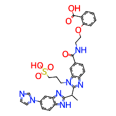 CC(c1nc2cc(-n3ccnc3)ccc2[nH]1)c1nc2ccc(C(=O)NCCOc3ccccc3C(=O)O)cc2n1CCCS(=O)(=O)O